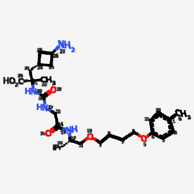 Cc1ccc(OCCCCOC[C@@H](NC(=O)CNC(=O)N[C@@](C)(C[C@H]2C[C@H](N)C2)C(=O)O)C(C)C)cc1